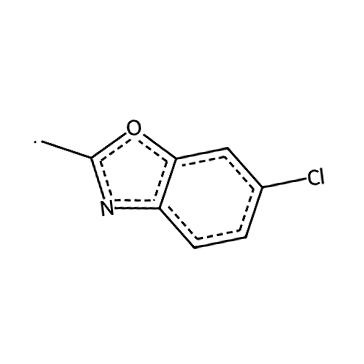 [CH2]c1nc2ccc(Cl)cc2o1